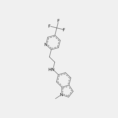 Cn1ccc2ccc(NCCc3ccc(C(F)(F)F)cn3)cc21